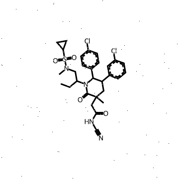 CCC(CN(C)S(=O)(=O)C1CC1)N1C(=O)C(C)(CC(=O)NC#N)CC(c2cccc(Cl)c2)C1c1ccc(Cl)cc1